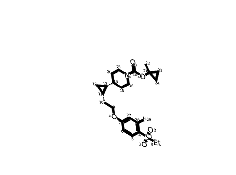 CCS(=O)(=O)c1ccc(OCC[C@@H]2C[C@@H]2C2CCN(C(=O)OC3(C)CC3)CC2)cc1F